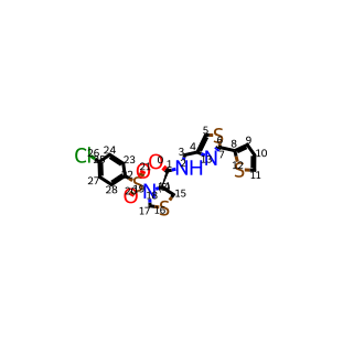 O=C(NCc1csc(-c2cccs2)n1)[C@H]1CSCN1S(=O)(=O)c1ccc(Cl)cc1